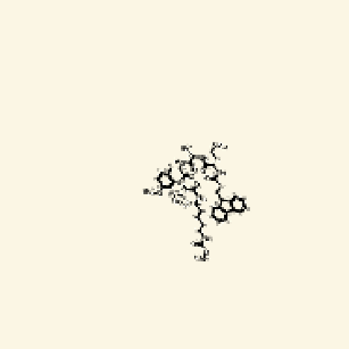 CSCC[C@H](NC(=O)OCC1c2ccccc2-c2ccccc21)C(=O)N[C@H](C(=O)N[C@@H](Cc1ccc(OC(C)(C)C)cc1)C(=O)N[C@@H](CC(C)C)C(=O)N[C@@H](CCCCNC(=O)OC(C)(C)C)C(=O)O)C(C)C